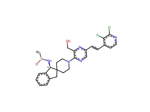 CC(C)(C)[S+]([O-])N[C@@H]1c2ccccc2CC12CCN(c1ncc(/C=C/c3ccnc(Cl)c3F)nc1CO)CC2